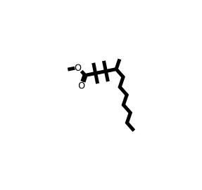 CCCCCCCC(C)C(C)(C)C(C)(C)C(=O)OC